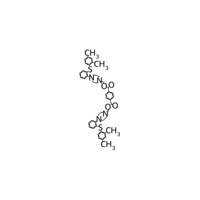 Cc1ccc(Sc2ccccc2N2CCN(COC(=O)c3ccc(C(=O)OCN4CCN(c5ccccc5Sc5ccc(C)cc5C)CC4)cc3)CC2)c(C)c1